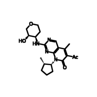 CC(=O)c1c(C)c2cnc(N[C@@H]3CCOC[C@@H]3O)nc2n([C@@H]2CCC[C@@H]2C)c1=O